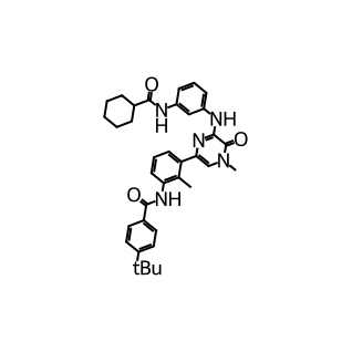 Cc1c(NC(=O)c2ccc(C(C)(C)C)cc2)cccc1-c1cn(C)c(=O)c(Nc2cccc(NC(=O)C3CCCCC3)c2)n1